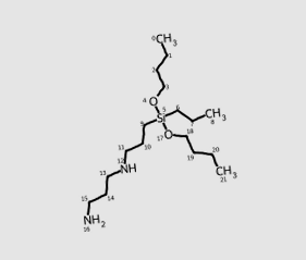 CCCCO[Si](CCC)(CCCNCCCN)OCCCC